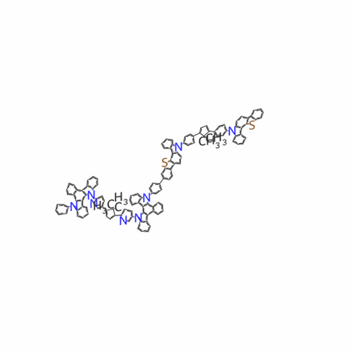 CC1(C)C(c2ccc(-n3c4ccccc4c4c5sc6ccccc6c5ccc43)cc2)=CC=C1c1ccc(-n2c3ccccc3c3c4sc5cc(-c6ccc(-n7c8ccccc8c8c7c7ccccc7c7c9ccccc9n(-c9ccc(C%10=CC=C(c%11ccc(-n%12c%13ccccc%13c%13c%14ccccc%14c%14c(c%15ccccc%15n%14-c%14ccccc%14)c%13%12)nc%11)C%10(C)C)nc9)c78)cc6)ccc5c4ccc32)cc1